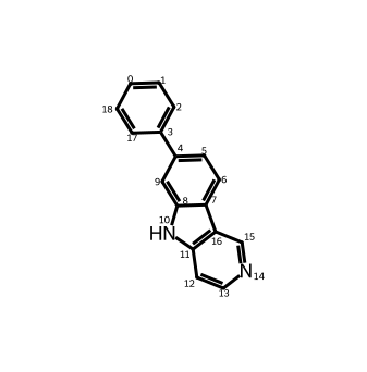 c1ccc(-c2ccc3c(c2)[nH]c2ccncc23)cc1